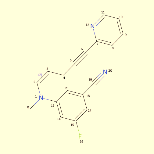 CN(/C=C\CC#Cc1ccccn1)c1cc(F)cc(C#N)c1